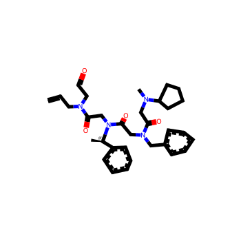 C=CCN(CC=O)C(=O)CN(C(=O)CN(Cc1ccccc1)C(=O)CN(C)C1CCCC1)[C@H](C)c1ccccc1